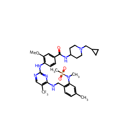 COc1cc(C(=O)NC2CCN(CC3CC3)CC2)ccc1Nc1ncc(C(F)(F)F)c(NCc2ccc(C)cc2N(C)S(C)(=O)=O)n1